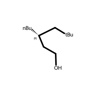 CCCC[C@@H](CCO)CC(C)(C)C